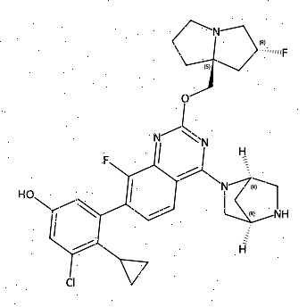 Oc1cc(Cl)c(C2CC2)c(-c2ccc3c(N4C[C@H]5C[C@@H]4CN5)nc(OC[C@@]45CCCN4C[C@H](F)C5)nc3c2F)c1